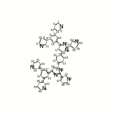 c1cncc(-c2cc(-c3cccnc3)cc(-c3cc(-c4ccc(-c5cc(-c6cc(-c7cccnc7)cc(-c7cccnc7)c6)nc(-c6cccnc6)n5)cc4)nc(-c4cccnc4)n3)c2)c1